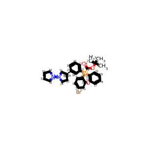 CC(C)(C)OC(=O)[P@+](C1=CC=CCC1=O)(c1ccccc1)c1cccc([C@H]2CCN(N3CCCC3)C2)c1.[Br-]